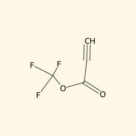 C#CC(=O)OC(F)(F)F